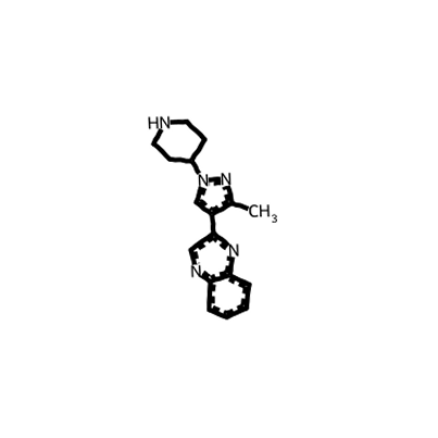 Cc1nn(C2CCNCC2)cc1-c1cnc2ccccc2n1